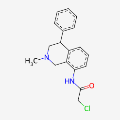 CN1Cc2c(NC(=O)CCl)cccc2C(c2ccccc2)C1